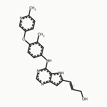 Cc1ccc(Oc2ccc(Nc3ncnc4cc(/C=C/CO)[nH]c34)cc2C)cn1